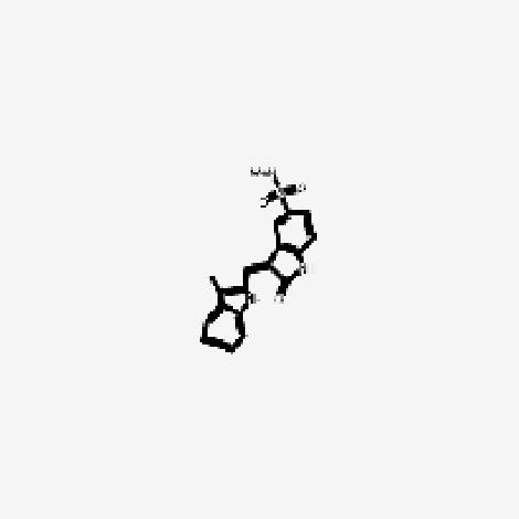 CNS(=O)(=O)c1ccc2c(c1)/C(=C/c1[nH]c3ccccc3c1C)C(=O)N2